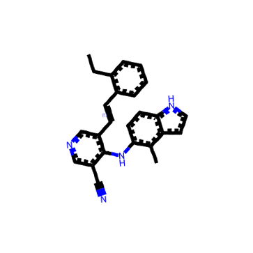 CCc1ccccc1/C=C/c1cncc(C#N)c1Nc1ccc2[nH]ccc2c1C